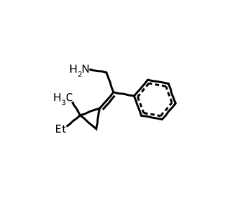 CCC1(C)CC1=C(CN)c1ccccc1